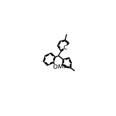 COc1c[c]ccc1C(c1ccc(C)cc1)c1ccc(C)cc1